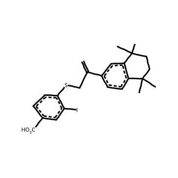 C=C(CSc1ccc(C(=O)O)cc1I)c1ccc2c(c1)C(C)(C)CCC2(C)C